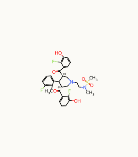 Cc1c(F)cccc1C1[C@@H](C(=O)c2cccc(O)c2F)CN(CCN(C)S(C)(=O)=O)C[C@@H]1C(=O)c1cccc(O)c1F